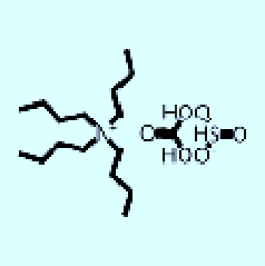 CCCC[N+](CCCC)(CCCC)CCCC.O=C(O)O.O=[SH](=O)[O-]